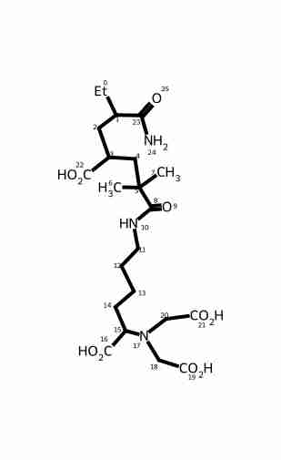 CCC(CC(CC(C)(C)C(=O)NCCCCC(C(=O)O)N(CC(=O)O)CC(=O)O)C(=O)O)C(N)=O